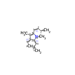 C=C/C=C\c1c(C)c(=C/C)/c(=C\C=C)n1C